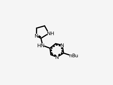 CCCCc1ncc(NC2=NCCN2)cn1